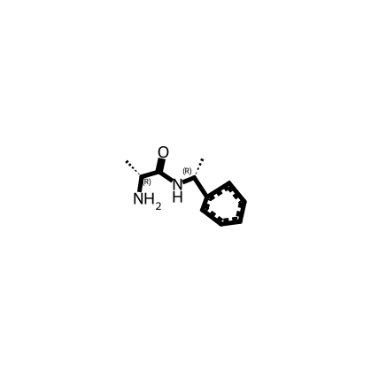 C[C@@H](N)C(=O)N[C@H](C)c1ccccc1